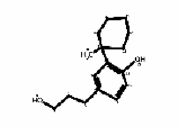 CC1(c2cc(CCCO)ccc2O)CCCCC1